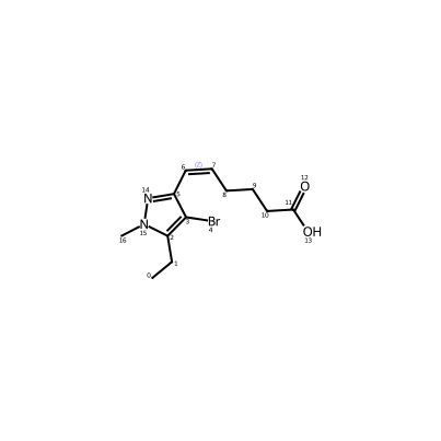 CCc1c(Br)c(/C=C\CCCC(=O)O)nn1C